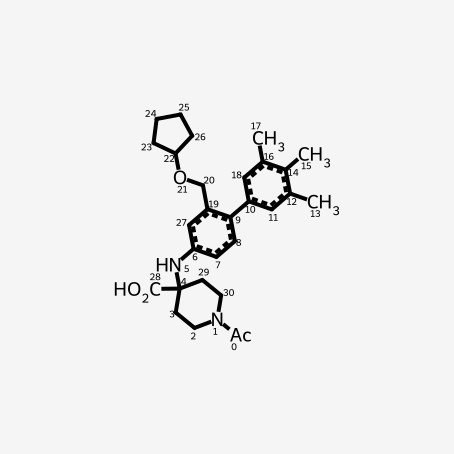 CC(=O)N1CCC(Nc2ccc(-c3cc(C)c(C)c(C)c3)c(COC3CCCC3)c2)(C(=O)O)CC1